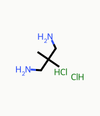 CC(C)(CN)CN.Cl.Cl